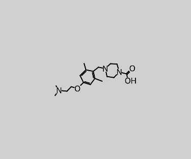 Cc1cc(OCCN(C)C)cc(C)c1CN1CCN(C(=O)O)CC1